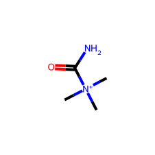 C[N+](C)(C)C(N)=O